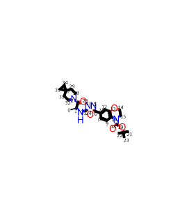 C[C@H](Nc1nnc(-c2ccc3c(c2)OCCN3C(=O)OC(C)(C)C)o1)C(=O)N1CCC2(CC1)CC2